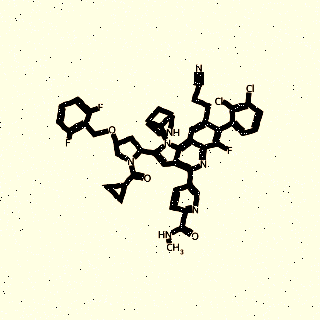 CNC(=O)c1ccc(-c2nc3c(F)c(-c4cccc(Cl)c4Cl)c(CCC#N)cc3c3c2cc(C2CC(OCc4c(F)cccc4F)CN2C(=O)C2CC2)n3C2C3CNC2C3)cn1